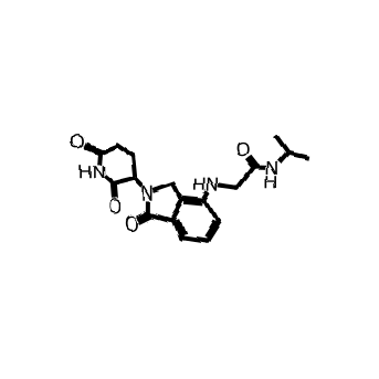 CC(C)NC(=O)CNc1cccc2c1CN(C1CCC(=O)NC1=O)C2=O